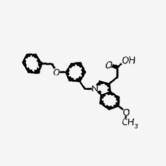 COc1ccc2c(c1)c(CC(=O)O)cn2Cc1cccc(OCc2ccccc2)c1